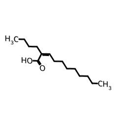 CCCCCCCCC=C(CCCC)C(=O)O